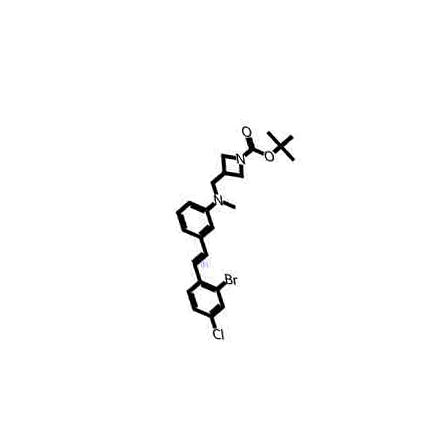 CN(CC1CN(C(=O)OC(C)(C)C)C1)c1cccc(/C=C/c2ccc(Cl)cc2Br)c1